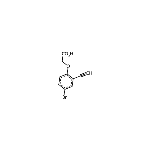 C#Cc1cc(Br)ccc1OCC(=O)O